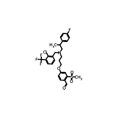 CC(CN(CCCOc1ccc(C=O)c(S(C)(=O)=O)c1)Cc1cccc(C(F)(F)F)c1Cl)c1ccc(F)cc1